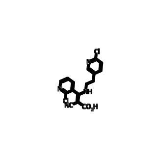 N#C/C(C(=O)O)=C(/NCCc1ccc(Cl)nc1)c1cccnc1Cl